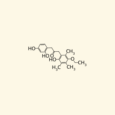 CCOc1c(C)c(C)c(O)c(CC(=O)Cc2ccc(O)cc2O)c1C